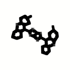 Cc1ccc2nc3ccccc3c(-c3nc4sc(-c5c6ccccc6nc6ccc(C)cc56)nc4s3)c2c1